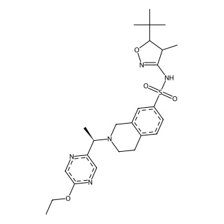 CCOc1cnc([C@@H](C)N2CCc3ccc(S(=O)(=O)NC4=NOC(C(C)(C)C)C4C)cc3C2)cn1